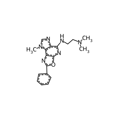 CN(C)CCNc1nc2oc(-c3ccccc3)nc2c2c1ncn2C